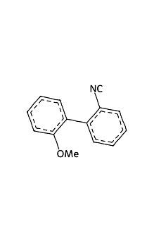 [C-]#[N+]c1ccccc1-c1ccccc1OC